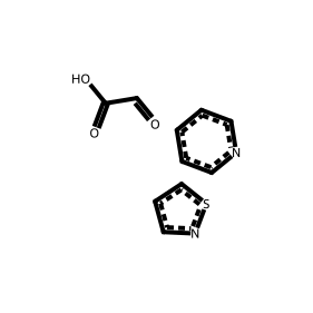 O=CC(=O)O.c1ccncc1.c1cnsc1